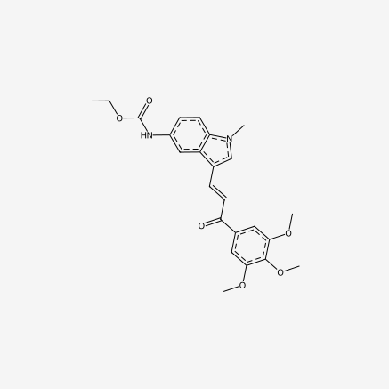 CCOC(=O)Nc1ccc2c(c1)c(C=CC(=O)c1cc(OC)c(OC)c(OC)c1)cn2C